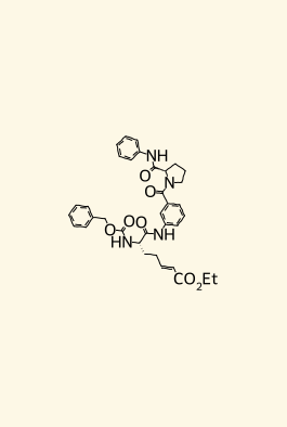 CCOC(=O)/C=C/CC[C@H](NC(=O)OCc1ccccc1)C(=O)Nc1cccc(C(=O)N2CCC[C@@H]2C(=O)Nc2ccccc2)c1